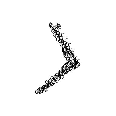 O.O.O.O.O=S(=O)([O-])[O-].O=S(=O)([O-])[O-].O=S(=O)([O-])[O-].O=S(=O)([O-])[O-].O=S(=O)([O-])[O-].O=S(=O)([O-])[O-].O=S(=O)([O-])[O-].O=[N+]([O-])[O-].O=[N+]([O-])[O-].O=[N+]([O-])[O-].O=[N+]([O-])[O-].O=[N+]([O-])[O-].O=[N+]([O-])[O-].O=[N+]([O-])[O-].[Al+3].[Al+3].[Al+3].[Al+3].[Cu+2].[Cu+2].[Cu+2].[Cu+2].[Ni+2].[Ni+2].[Ni+2].[Ni+2].[OH-].[OH-].[OH-].[OH-].[OH-].[OH-].[OH-]